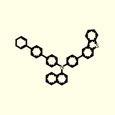 C1=CC(c2ccc(-c3ccc(N(c4ccc(-c5ccc6sc7ccccc7c6c5)cc4)c4cccc5ccccc45)cc3)cc2)=CCC1